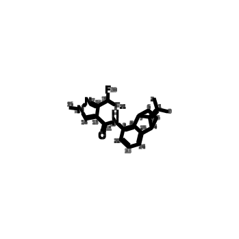 CC(C)=C1C2CCC1c1c(NC(=O)c3cn(C)nc3C(F)F)cccc12